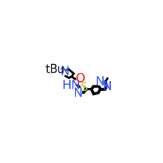 Cc1ncc2ccc(-c3cnc(NC(=O)C4CCN(C(C)(C)C)CC4)s3)cc2n1